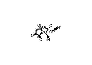 N#COP(=O)(OC#N)OP1(=O)OC(=O)C(=O)O1